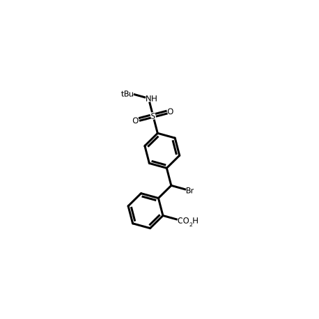 CC(C)(C)NS(=O)(=O)c1ccc(C(Br)c2ccccc2C(=O)O)cc1